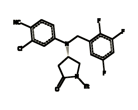 CCN1C[C@@H](N(Cc2cc(F)cc(F)c2F)c2ccc(C#N)c(Cl)c2)CC1=O